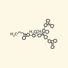 C=C/C=C\C=C\n1c2ccccc2c2cc(-c3ccc4c(c3)C(C)(C)c3cc(N(c5ccc(-c6ccc7c(c6)c6ccccc6n7-c6ccccc6)cc5)c5ccc(-c6ccc7c8ccccc8n(-c8ccccc8)c7c6)c6ccccc56)ccc3-4)ccc21